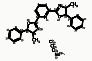 CC1N=C(c2cccc(C3=NC(C)C(c4ccccc4)O3)n2)OC1c1ccccc1.[Cl-].[Cl-].[Cl-].[Nd+3]